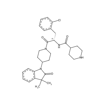 CC1(C)C(=O)N(C2CCN(C(=O)[C@H](Cc3ccccc3Cl)NC(=O)C3CCNCC3)CC2)c2ccccc21